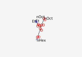 CCCCCC/C=C\COC(=O)CCCCCCCC(=O)OCC(COC(=O)CCCCCC(=O)OC(CCCCCCCC)CCCCCCCC)COC(=O)OCCCN(CC)CC